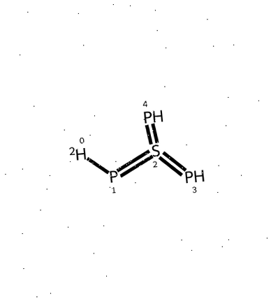 [2H]P=S(=P)=P